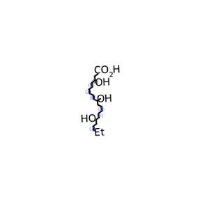 CC/C=C\CC(O)/C=C/C=C\CC(O)/C=C/C=C\C=C\[C@@H](O)CCC(=O)O